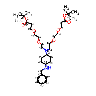 CC(C)(C)OC(=O)CCOCCOCCN(CCOCCOCCC(=O)OC(C)(C)C)C1CCC(NCc2ccccc2)CC1